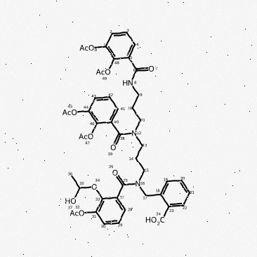 CC(=O)Oc1cccc(C(=O)NCCCN(CCCN(Cc2ccccc2C(=O)O)C(=O)c2cccc(OC(C)=O)c2OC(C)O)C(=O)c2cccc(OC(C)=O)c2OC(C)=O)c1OC(C)=O